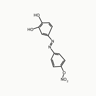 O=[N+]([O-])Oc1ccc(/N=N/c2ccc(O)c(O)c2)cc1